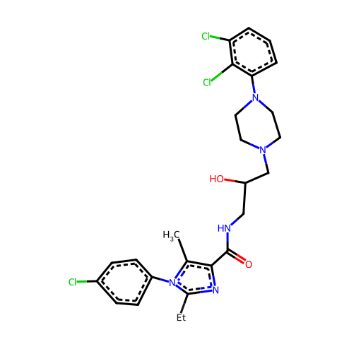 CCc1nc(C(=O)NCC(O)CN2CCN(c3cccc(Cl)c3Cl)CC2)c(C)n1-c1ccc(Cl)cc1